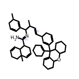 CC1C=C(C(/N=C(\N)C2CC=CC3(C)CCC=CC23)C(C)/C=C/C2C=C(C3(C4=CCCCC4)C4=CCCCC4OC4CCCCC43)C=CC2)C=CC1